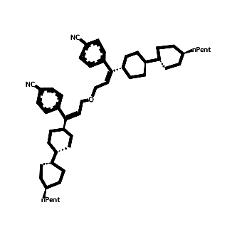 CCCCC[C@H]1CC[C@H]([C@H]2CC[C@H](C(=CCOCC=C(c3ccc(C#N)cc3)[C@H]3CC[C@H]([C@H]4CC[C@H](CCCCC)CC4)CC3)c3ccc(C#N)cc3)CC2)CC1